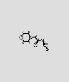 O=C(CN1CCOCC1)N=C=S